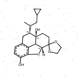 CN(CC1CC1)[C@@H]1Cc2ccc(O)c3c2C2[C@@H](O3)C3(CC[C@]21O)OCCO3